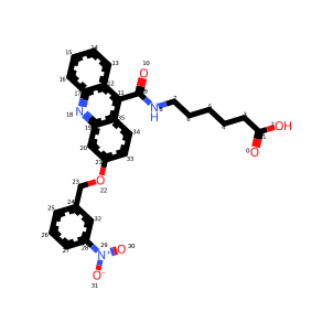 O=C(O)CCCCCNC(=O)c1c2ccccc2nc2cc(OCc3cccc([N+](=O)[O-])c3)ccc12